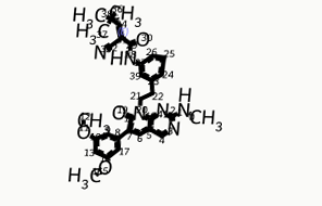 CNc1ncc2cc(-c3cc(OC)cc(OC)c3)c(=O)n(CCc3cccc(NC(=O)/C(C#N)=C/C(C)(C)C)c3)c2n1